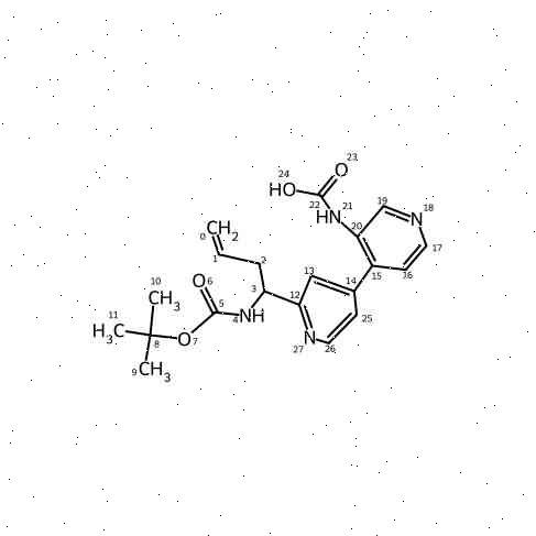 C=CCC(NC(=O)OC(C)(C)C)c1cc(-c2ccncc2NC(=O)O)ccn1